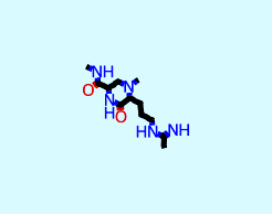 CNC(=O)C1CN(C)C(CCCNC(C)=N)C(=O)N1